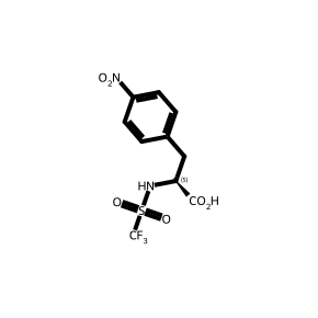 O=C(O)[C@H](Cc1ccc([N+](=O)[O-])cc1)NS(=O)(=O)C(F)(F)F